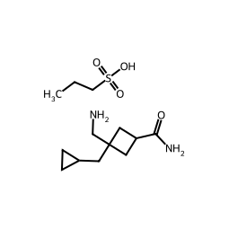 CCCS(=O)(=O)O.NCC1(CC2CC2)CC(C(N)=O)C1